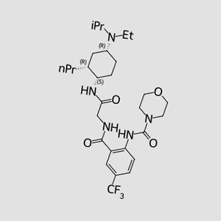 CCC[C@@H]1C[C@H](N(CC)C(C)C)CC[C@@H]1NC(=O)CNC(=O)c1cc(C(F)(F)F)ccc1NC(=O)N1CCOCC1